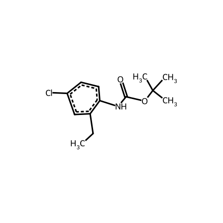 CCc1cc(Cl)ccc1NC(=O)OC(C)(C)C